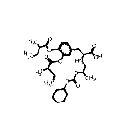 CCC(C)C(=O)Oc1ccc(C[C@H](NCC(C)OC(=O)OC2CCCCC2)C(=O)O)cc1OC(=O)C(C)CC